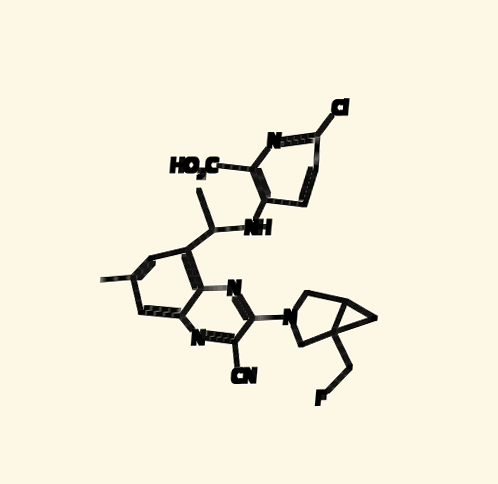 Cc1cc(C(C)Nc2ccc(Cl)nc2C(=O)O)c2nc(N3CC4CC4(CF)C3)c(C#N)nc2c1